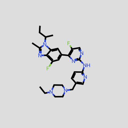 CCC(C)n1c(C)nc2c(F)cc(-c3nc(Nc4ccc(CN5CCN(CC)CC5)cn4)ncc3F)cc21